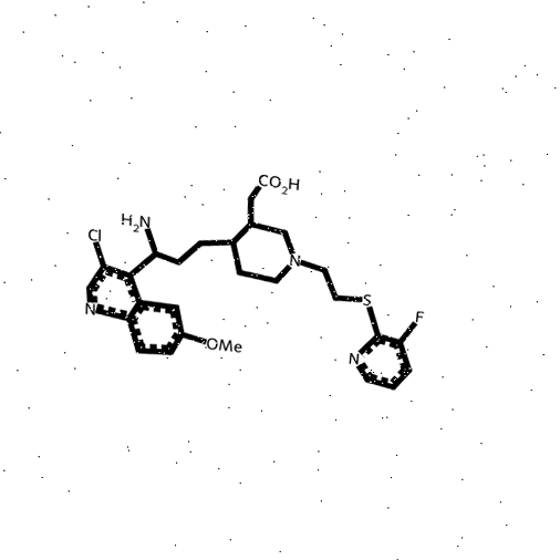 COc1ccc2ncc(Cl)c(C(N)CCC3CCN(CCSc4ncccc4F)CC3CC(=O)O)c2c1